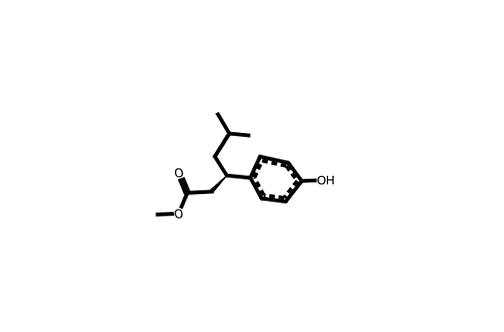 COC(=O)C[C@@H](CC(C)C)c1ccc(O)cc1